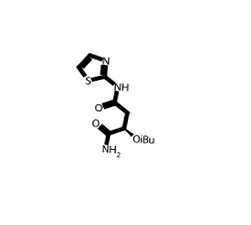 CC(C)CO[C@H]([CH]C(=O)Nc1nccs1)C(N)=O